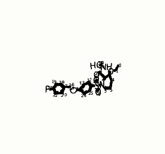 CCOC1CCCN(S(=O)(=O)c2ccc(OCc3ccc(F)cc3)cc2)C1C(=O)NO